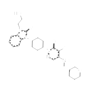 O=c1c(Cl)c(NC[C@H]2CCCOC2)cnn1[C@H]1CC[C@@H](n2c(=O)n(CCO)c3ccccc32)CC1